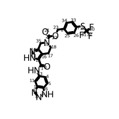 O=C(Nc1ccc2[nH]nnc2c1)c1[nH]nc2c1CCN(C(=O)OCc1ccc(SC(F)(F)F)cc1)C2